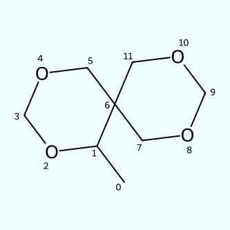 CC1OCOCC12COCOC2